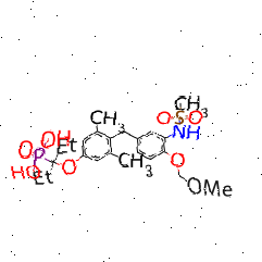 CCC(CC)(Oc1cc(C)c(Cc2ccc(OCOC)c(NS(C)(=O)=O)c2)c(C)c1)P(=O)(O)O